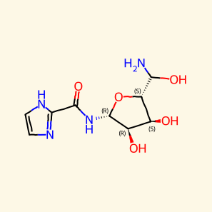 NC(O)[C@H]1O[C@@H](NC(=O)c2ncc[nH]2)[C@H](O)[C@@H]1O